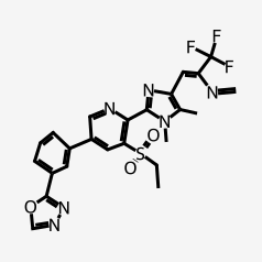 C=N/C(=C\c1nc(-c2ncc(-c3cccc(-c4nnco4)c3)cc2S(=O)(=O)CC)n(C)c1C)C(F)(F)F